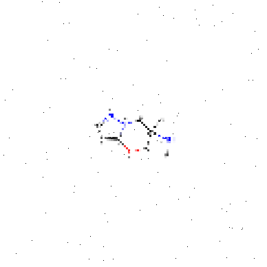 CNC1(C)COc2ccnn2C1